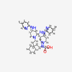 Cc1ccc(NC2CCN(CCC3(CCN(C(=O)O)N4CCC(Nc5ccc(C)cn5)CC4)CCCCC3)CC2)nc1